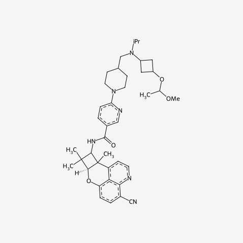 COC(C)OC1CC(N(CC2CCN(c3ccc(C(=O)NC4C(C)(C)[C@@H]5Oc6ccc(C#N)c7nccc(c67)C45C)cn3)CC2)C(C)C)C1